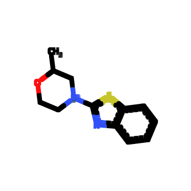 CC1C[N+](c2nc3ccccc3s2)CCO1